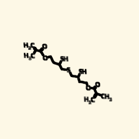 C=C(C)C(=O)OCCC(S)CSCC(S)CCOC(=O)C(=C)C